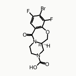 O=C(O)N1CCN2C(=O)c3cc(F)c(Br)c(F)c3OC[C@H]2C1